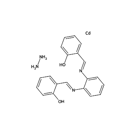 NN.Oc1ccccc1C=Nc1ccccc1N=Cc1ccccc1O.[Cd]